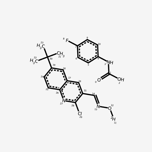 O=C(O)Nc1ccc(F)cc1.[2H]ON=Cc1cc2cc(C(C)(C)C)ccc2nc1Cl